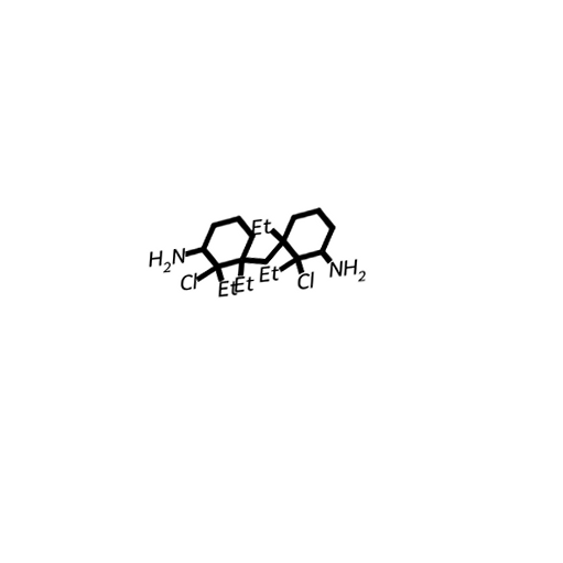 CCC1(CC2(CC)CCCC(N)C2(Cl)CC)CCCC(N)C1(Cl)CC